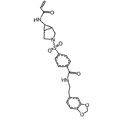 C=CC(=O)NC1C2CN(S(=O)(=O)c3ccc(C(=O)NCCc4ccc5c(c4)OCO5)cc3)CC21